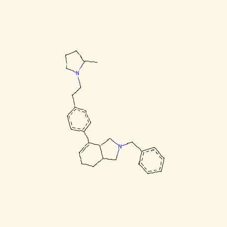 CC1CCCN1CCc1ccc(C2=CCCC3CN(Cc4ccccc4)CC23)cc1